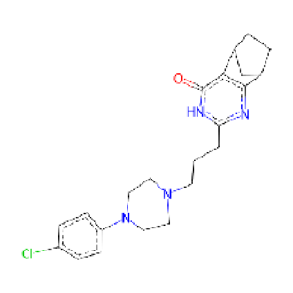 O=c1[nH]c(CCCN2CCN(c3ccc(Cl)cc3)CC2)nc2c1C1CCC2C1